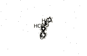 Cl.O=C(CN1CCCCC1)Nc1ccc(N2CCCOCC2)cc1